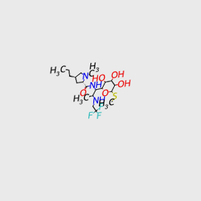 CCC[C@@H]1C[C@@H](C(=O)N[C@H]([C@H](C)NCC(F)(F)F)[C@H]2OC(SC)[C@H](O)C(O)C2O)N(C)C1